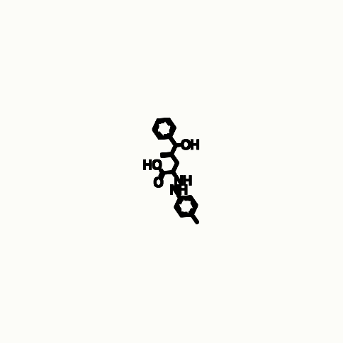 C=C(CC(NNc1ccc(C)cc1)C(=O)O)C(O)c1ccccc1